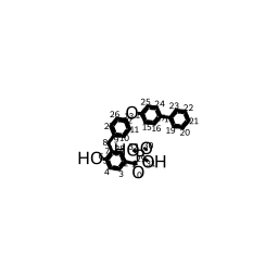 O=C(c1ccc(O)c(Cc2ccc(Oc3ccc(-c4ccccc4)cc3)cc2)c1)P(=O)(O)O